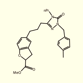 CCCn1c(CCCc2ccc3c(c2)CC(C(=O)OC)O3)nn(Cc2ccc(C)cc2)c1=O